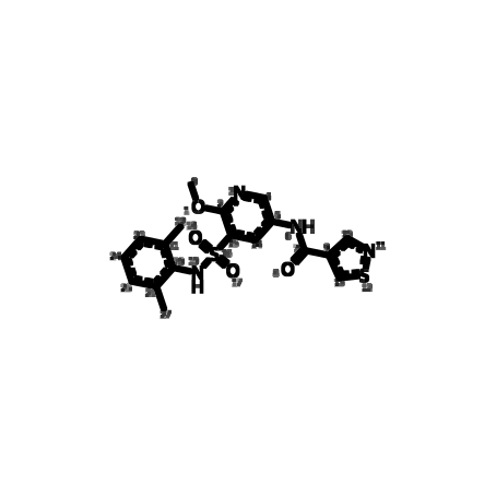 COc1ncc(NC(=O)c2cnsc2)cc1S(=O)(=O)Nc1c(C)cccc1C